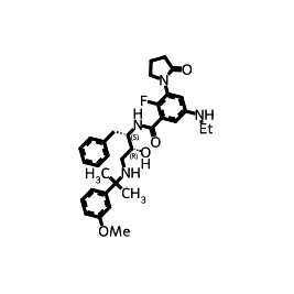 CCNc1cc(C(=O)N[C@@H](Cc2ccccc2)[C@H](O)CNC(C)(C)c2cccc(OC)c2)c(F)c(N2CCCC2=O)c1